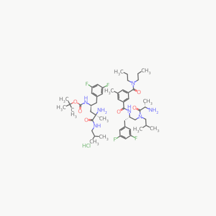 CC(C)CNC(=O)[C@](C)(N)C[C@H](Cc1cc(F)cc(F)c1)NC(=O)OC(C)(C)C.CCCN(CCC)C(=O)c1cc(C)cc(C(=O)N[C@@H](Cc2cc(F)cc(F)c2)CN(CC(C)C)C(=O)[C@H](C)N)c1.Cl